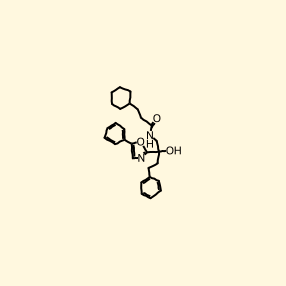 O=C(CCC1CCCCC1)NCC(O)(CCc1ccccc1)c1ncc(-c2ccccc2)o1